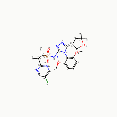 COc1cccc(OC)c1-n1c(NS(=O)(=O)[C@@H](C)[C@H](C)c2ncc(F)cn2)nnc1[C@H]1COC(C)(C)C1